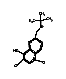 CC(C)(C)NCc1ccc2c(Cl)cc(Cl)c(O)c2n1